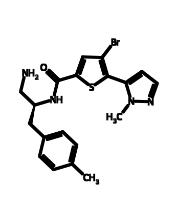 Cc1ccc(C[C@@H](CN)NC(=O)c2cc(Br)c(-c3ccnn3C)s2)cc1